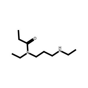 CCNCCCN(CC)C(=O)CC